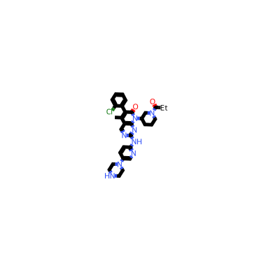 CCC(=O)N1CCCC(n2c(=O)c(-c3ccccc3Cl)c(C)c3cnc(Nc4ccc(N5CCNCC5)cn4)nc32)C1